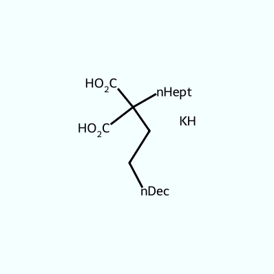 CCCCCCCCCCCCC(CCCCCCC)(C(=O)O)C(=O)O.[KH]